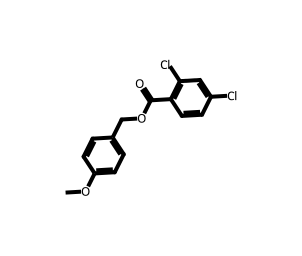 COc1ccc(COC(=O)c2ccc(Cl)cc2Cl)cc1